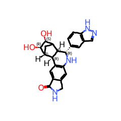 O=C1NCc2cc3c(cc21)[C@H]1[C@H]2CC([C@H]1[C@H](c1ccc4[nH]ncc4c1)N3)[C@H](O)[C@@H]2O